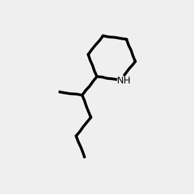 CCCC(C)C1CCCCN1